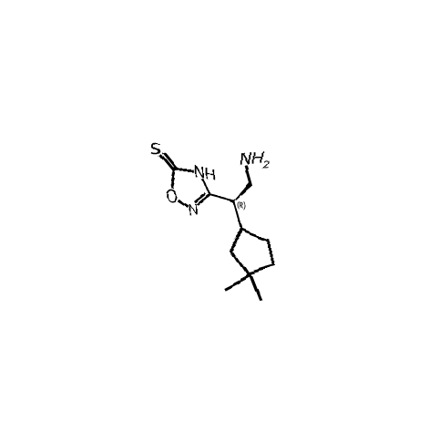 CC1(C)CCC([C@H](CN)c2noc(=S)[nH]2)C1